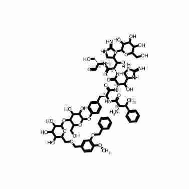 COc1ccc(COCC2OC(OC3C(CO)OC(Oc4ccc(C[C@H](NC(=O)[C@@H](N)C(C)c5ccccc5)C(=O)N[C@H](C(=O)N[C@H](C(=O)N[C@H]([C]=O)CO)C(O)C5CNC(=N)N5C5OC(CO)C(O)C(O)C5O)C(O)C5CNC(=N)N5)cc4)C(O)C3O)C(O)C(O)C2O)cc1OCc1ccccc1